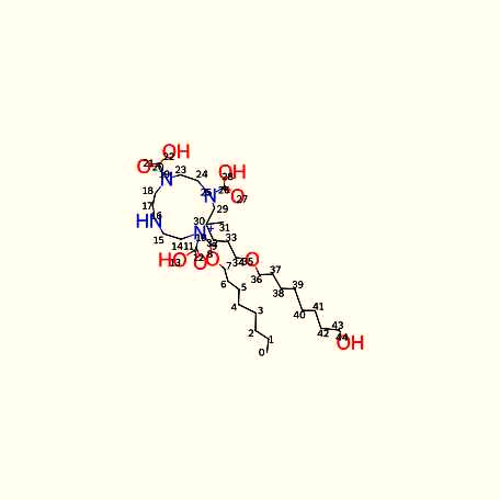 CCCCCCCCOC[N+]1(C(=O)O)CCNCCN(C(=O)O)CCN(C(=O)O)CC1(C)CCCOCCCCCCCCO